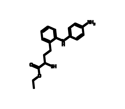 CCOC(=O)C(S)CCc1ccccc1Nc1ccc(N)cc1